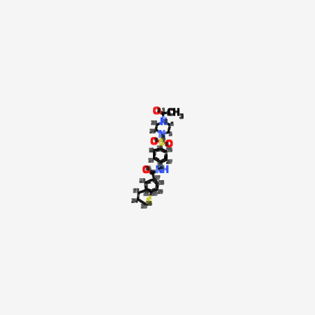 CC(=O)N1CCN(S(=O)(=O)c2ccc(NC(=O)c3ccc4c(c3)CCCS4)cc2)CC1